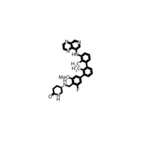 COc1cc(-c2cccc(-c3cccc(Nc4cncc5nccnc45)c3C)c2C)cc(F)c1CN[C@H]1CCC(=O)NC1